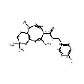 CO/C1=C/C2=C(CCC(C)(C)O2)C(O)C#CC1C(=O)CCc1ccc(O)cc1